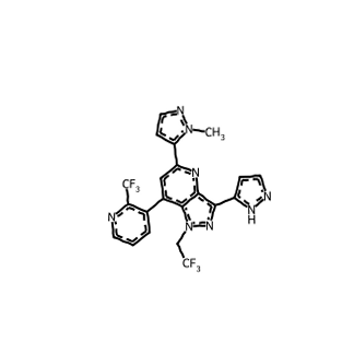 Cn1nccc1-c1cc(-c2cccnc2C(F)(F)F)c2c(n1)c(-c1ccn[nH]1)nn2CC(F)(F)F